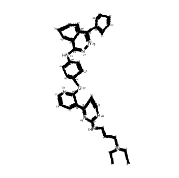 CCN(CC)CCCNc1nccc(-c2cccnc2Oc2ccc(Nc3nnc(-c4ccccc4)c4ccccc34)cc2)n1